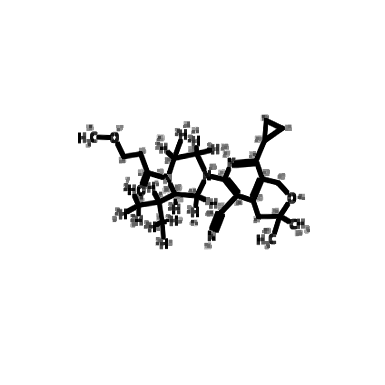 [2H]C([2H])([2H])C([2H])(C([2H])([2H])[2H])[C@@]1([2H])N(C(=O)CCOC)C([2H])([2H])C([2H])([2H])N(c2nc(C3CC3)c3c(c2C#N)CC(C)(C)OC3)C1([2H])[2H]